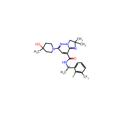 C[C@@H](NC(=O)C1=CC(N2CCC(C)(O)CC2)=NN2CC(C)(C)N=C12)c1cccc(C(F)(F)F)c1F